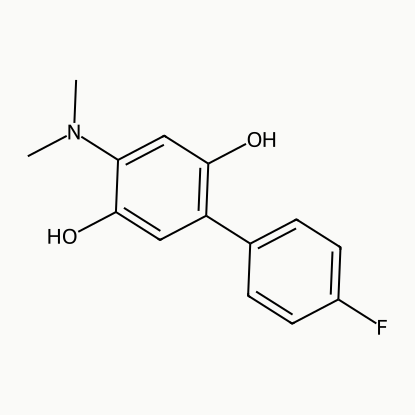 CN(C)c1cc(O)c(-c2ccc(F)cc2)cc1O